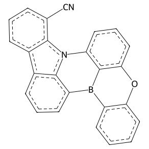 N#Cc1cccc2c3cccc4c3n(c12)-c1cccc2c1B4c1ccccc1O2